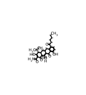 CCCCCC(=O)c1ccc(O)c2c1CC1CC3C(N(C)C)C(O)=C(C(N)=O)C(=O)C3(O)C(O)=C1C2=O